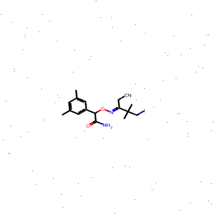 Cc1cc(C)cc(C(O/N=C(\CC#N)C(C)(C)CI)C(N)=O)c1